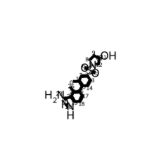 Cc1cc(S(=O)(=O)N2CC[C@H](O)C2)ccc1-c1ccc2[nH]nc(N)c2c1C